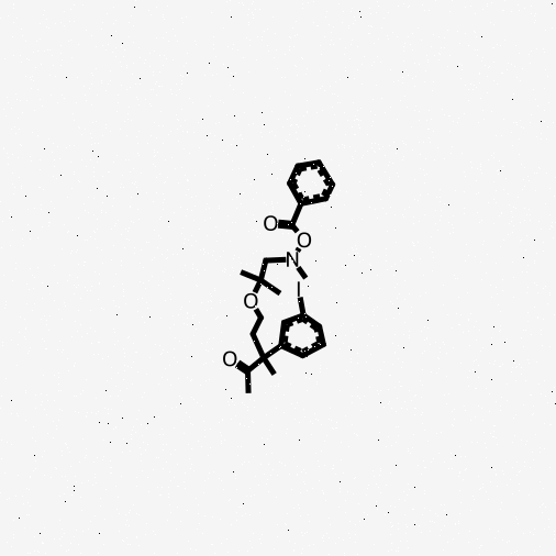 CC(=O)C(C)(CCOC(C)(C)CN(C)OC(=O)c1ccccc1)c1cccc(I)c1